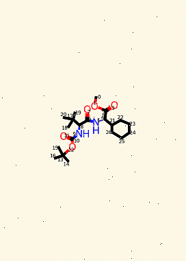 COC(=O)[C@@H](NC(=O)[C@@H](NC(=O)OC(C)(C)C)C(C)(C)C)C1CCCCC1